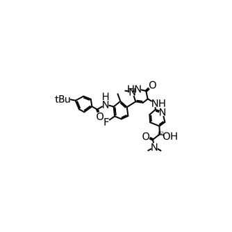 Cc1c(C2=CC(Nc3ccc([C@H](O)C(=O)N(C)C)cn3)C(=O)NN2C)ccc(F)c1NC(=O)c1ccc(C(C)(C)C)cc1